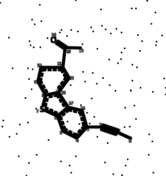 CC#Cc1ccc2sc3ccc(C(C)=O)cc3c2c1